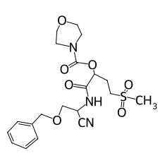 CS(=O)(=O)CCC(OC(=O)N1CCOCC1)C(=O)NC(C#N)COCc1ccccc1